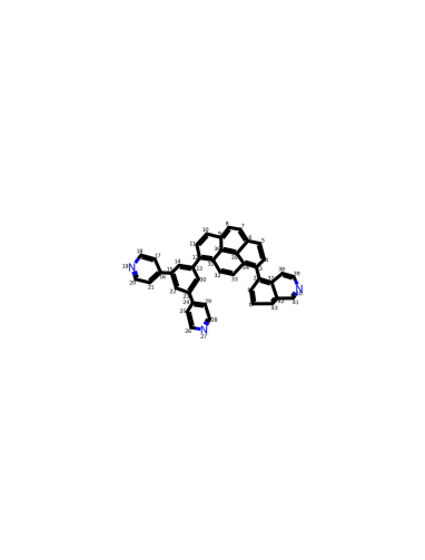 c1cc(-c2ccc3ccc4ccc(-c5cc(-c6ccncc6)cc(-c6ccncc6)c5)c5ccc2c3c45)c2ccncc2c1